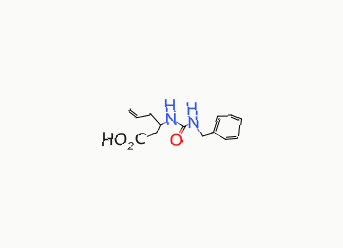 C=CCC(CC(=O)O)NC(=O)NCc1ccccc1